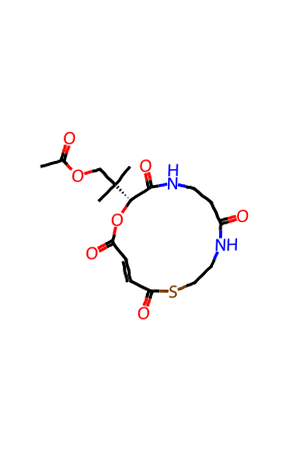 CC(=O)OCC(C)(C)[C@H]1OC(=O)/C=C/C(=O)SCCNC(=O)CCNC1=O